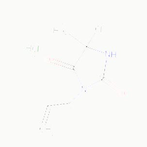 C=CCN1C(=O)NC(C)(C)C1=O.Cl